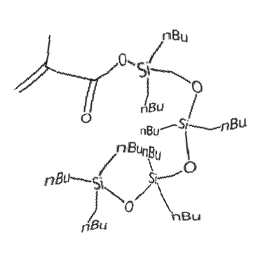 C=C(C)C(=O)O[Si](CCCC)(CCCC)O[Si](CCCC)(CCCC)O[Si](CCCC)(CCCC)O[Si](CCCC)(CCCC)CCCC